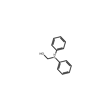 OC[SH](c1ccccc1)c1ccccc1